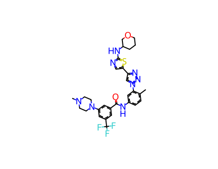 Cc1ccc(NC(=O)c2cc(N3CCN(C)CC3)cc(C(F)(F)F)c2)cc1-n1cc(-c2cnc(NC3CCCOC3)s2)nn1